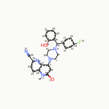 Cn1c(=O)cc(N2CCN(C(c3ccc(F)cc3)c3ccccc3O)CC2)c2nc(C#N)ccc21